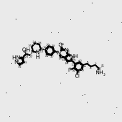 C[C@H](N)CCCc1cc(Cl)c(F)c(-c2cc3cn(-c4ccc([C@@H]5CCC[C@@H](C[C@H](O)c6ccn[nH]6)N5)cc4)c(=O)nc3[nH]2)c1